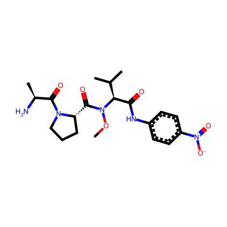 CON(C(=O)[C@@H]1CCCN1C(=O)[C@H](C)N)[C@H](C(=O)Nc1ccc([N+](=O)[O-])cc1)C(C)C